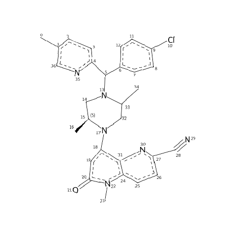 Cc1ccc(C(c2ccc(Cl)cc2)N2C[C@H](C)N(c3cc(=O)n(C)c4ccc(C#N)nc34)CC2C)nc1